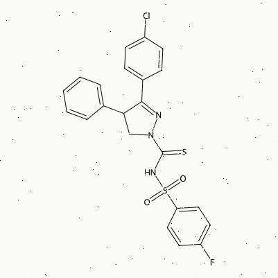 O=S(=O)(NC(=S)N1CC(c2ccccc2)C(c2ccc(Cl)cc2)=N1)c1ccc(F)cc1